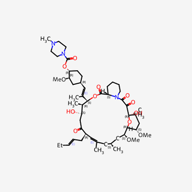 CC/C=C/C[C@@H]1/C=C(\C)C[C@H](C)C[C@H](OC)[C@H]2O[C@@](O)(C(=O)C(=O)N3CCCC[C@H]3C(=O)O[C@H](/C(C)=C/[C@@H]3CC[C@@H](OC(=O)N4CCN(C)CC4)[C@H](OC)C3)[C@H](C)[C@@H](O)CC1=O)[C@H](C)C[C@@H]2OC